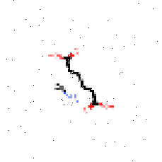 O=C(O)CCCCC(=O)O.[NH2][Zn]